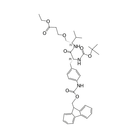 CCOC(=O)CCOC[C@@H](NC(=O)[C@@H](Cc1ccc(NC(=O)OCC2c3ccccc3-c3ccccc32)cc1)NC(=O)OC(C)(C)C)C(C)C